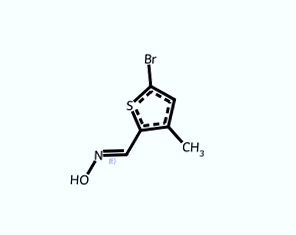 Cc1cc(Br)sc1/C=N/O